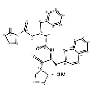 O=C[C@@H]1CCCN1C(=O)[C@H](Cc1ccc2ccccc2c1)NC(=O)C[C@H](Cc1ccccc1)NC(=O)[C@@H]1CCCN1